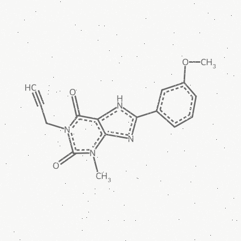 C#CCn1c(=O)c2[nH]c(-c3cccc(OC)c3)nc2n(C)c1=O